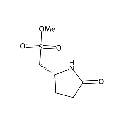 COS(=O)(=O)C[C@H]1CCC(=O)N1